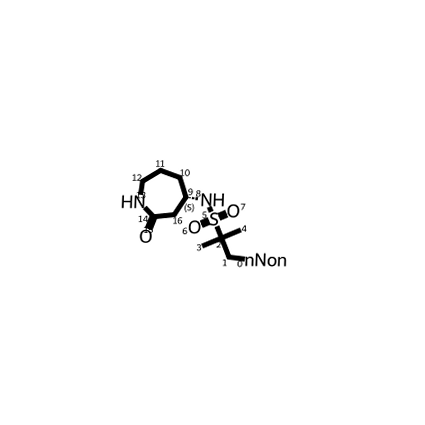 CCCCCCCCCCC(C)(C)S(=O)(=O)N[C@H]1CCCNC(=O)C1